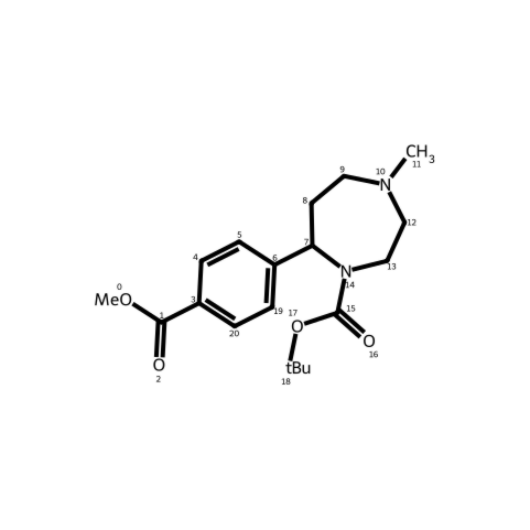 COC(=O)c1ccc(C2CCN(C)CCN2C(=O)OC(C)(C)C)cc1